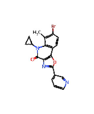 Cc1c(Br)ccc2c3oc(-c4cccnc4)nc3c(=O)n(C3CC3)c12